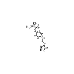 CN(C)C(=S)Oc1ccc(CCCn2ccnn2)cc1